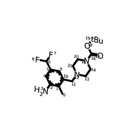 Cc1c(N)cc(C(F)F)cc1CN1CCN(C(=O)OC(C)(C)C)CC1